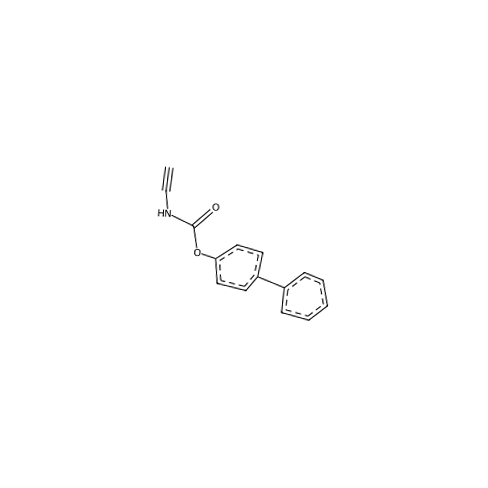 C#CNC(=O)Oc1ccc(-c2ccccc2)cc1